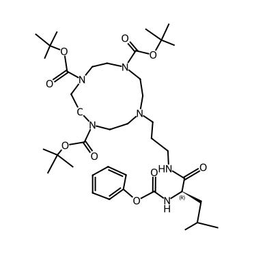 CC(C)C[C@@H](NC(=O)Oc1ccccc1)C(=O)NCCCN1CCN(C(=O)OC(C)(C)C)CCN(C(=O)OC(C)(C)C)CCN(C(=O)OC(C)(C)C)CC1